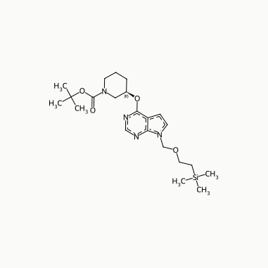 CC(C)(C)OC(=O)N1CCC[C@@H](Oc2ncnc3c2ccn3COCC[Si](C)(C)C)C1